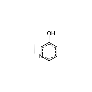 CC.Oc1cccnc1